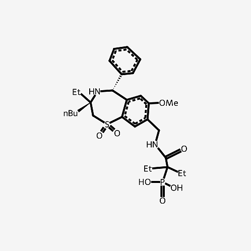 CCCC[C@]1(CC)CS(=O)(=O)c2cc(CNC(=O)C(CC)(CC)P(=O)(O)O)c(OC)cc2[C@@H](c2ccccc2)N1